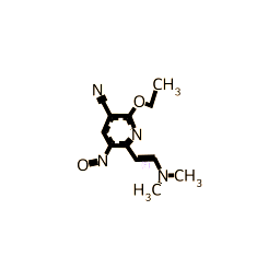 CCOc1nc(/C=C/N(C)C)c(N=O)cc1C#N